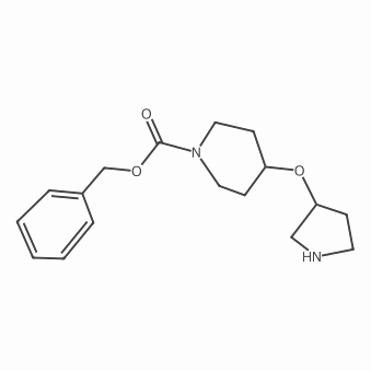 O=C(OCc1ccccc1)N1CCC(OC2CCNC2)CC1